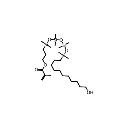 C=C(C)C(=O)OCCC[Si](C)(C)O[Si](C)(C)O[Si](C)(C)O[Si](C)(C)CCCCCCCCCCCO